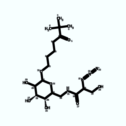 CC(C)(C)C(=O)CCCCOC1OC(CNC(=O)C(CO)N=[N+]=[N-])[C@H](O)[C@H](O)C1O